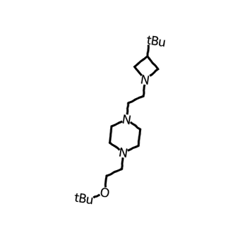 CC(C)(C)OCCN1CCN(CCN2CC(C(C)(C)C)C2)CC1